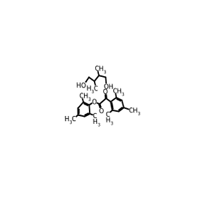 CC(CO)C(C)CO.Cc1cc(C)c(OC(=O)C(=O)c2c(C)cc(C)cc2C)c(C)c1